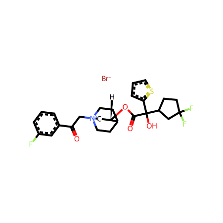 O=C(C[N+]12CCC(CC1)[C@@H](OC(=O)C(O)(c1cccs1)C1CCC(F)(F)C1)C2)c1cccc(F)c1.[Br-]